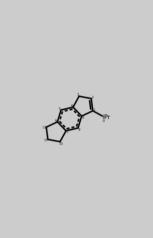 CC(C)C1=CCc2cc3c(cc21)CCC3